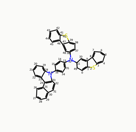 C1=c2sc3ccccc3c2=CC(N(c2ccc(-n3c4ccccc4c4c5ccccc5ccc43)cc2)c2ccc3sc4ccccc4c3c2)C1